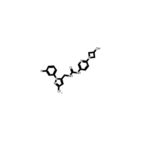 O=C(NCc1cc(C(F)(F)F)nn1-c1cccc(F)c1)Nc1ccc(N2CC(O)C2)nc1